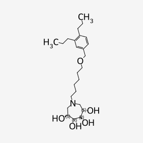 CCCc1ccc(COCCCCCCN2C[C@H](O)[C@@H](O)[C@H](O)[C@@H](O)C2)cc1CCC